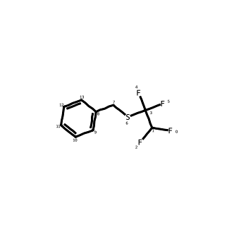 FC(F)C(F)(F)SCc1ccccc1